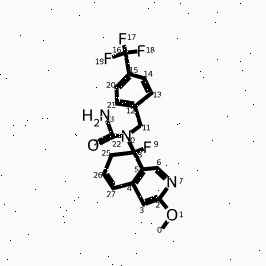 COc1cc2c(cn1)C(F)(N(Cc1ccc(C(F)(F)F)cc1)C(N)=O)CC=C2